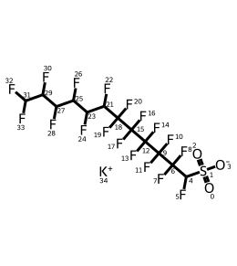 O=S(=O)([O-])C(F)C(F)(F)C(F)(F)C(F)(F)C(F)(F)C(F)(F)C(F)C(F)C(F)C(F)C(F)C(F)F.[K+]